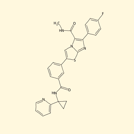 CNC(=O)c1c(-c2ccc(F)cc2)nc2sc(-c3cccc(C(=O)NC4(c5ccccn5)CC4)c3)cn12